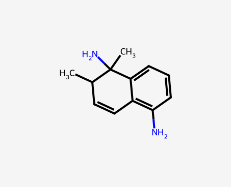 CC1C=Cc2c(N)cccc2C1(C)N